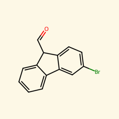 O=CC1c2ccccc2-c2cc(Br)ccc21